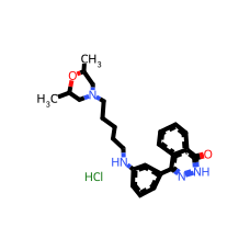 CC1CN(CCCCCNc2cccc(-c3n[nH]c(=O)c4ccccc34)c2)CC(C)O1.Cl